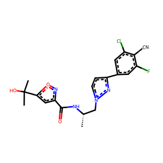 C[C@@H](Cn1ccc(-c2cc(F)c(C#N)c(Cl)c2)n1)NC(=O)c1cc(C(C)(C)O)on1